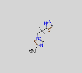 CC(C)(C)c1nc[n+](CC(C)(C)c2nncs2)s1